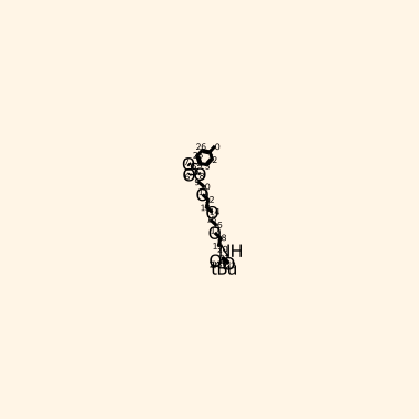 Cc1ccc(S(=O)(=O)OCCOCCOCCOCCNC(=O)OC(C)(C)C)cc1